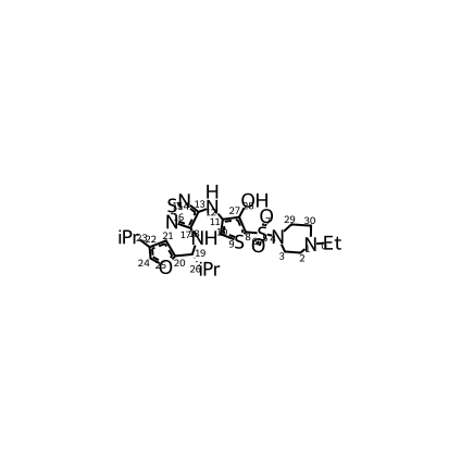 CCN1CCN(S(=O)(=O)c2scc(Nc3nsnc3N[C@@H](c3cc(C(C)C)co3)C(C)C)c2O)CC1